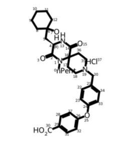 CCCCCN1C(=O)[C@@H](CC2(O)CCCCC2)NC(=O)C12CCN(Cc1ccc(Oc3ccc(C(=O)O)cc3)cc1)CC2.Cl